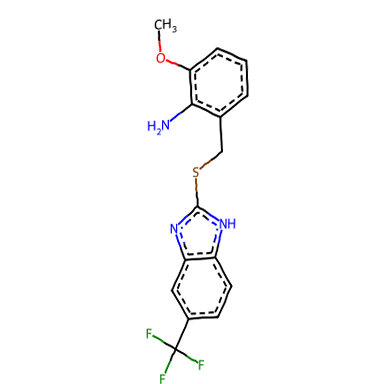 COc1cccc(CSc2nc3cc(C(F)(F)F)ccc3[nH]2)c1N